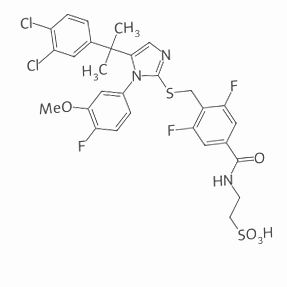 COc1cc(-n2c(C(C)(C)c3ccc(Cl)c(Cl)c3)cnc2SCc2c(F)cc(C(=O)NCCS(=O)(=O)O)cc2F)ccc1F